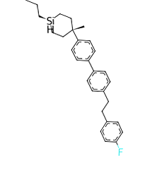 CCC[Si@H]1CC[C@](C)(c2ccc(-c3ccc(CCc4ccc(F)cc4)cc3)cc2)CC1